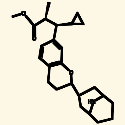 COC(=O)[C@@H](C)[C@H](c1ccc2c(c1)OC(C1CC3CCCC(C1)N3)CC2)C1CC1